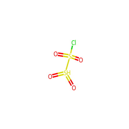 O=[SH](=O)S(=O)(=O)Cl